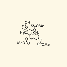 COC(=O)O[C@H]1CC[C@@]2(C)C(=C[C@H](OC(=O)OC)C3C2[C@H](OC(=O)OC)C[C@@]2(C)C3CC[C@@]23CCC(O)O3)C1